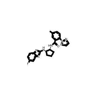 Cc1ccc(-n2nccn2)c(C(=O)N[C@@H]2CCC[C@@H]2Nc2nc3ccc(F)cc3s2)c1